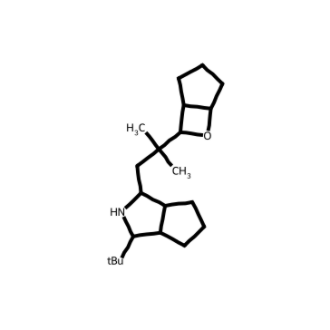 CC(C)(C)C1NC(CC(C)(C)C2OC3CCCC32)C2CCCC21